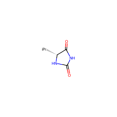 CC(C)[C@H]1NC(=O)NC1=O